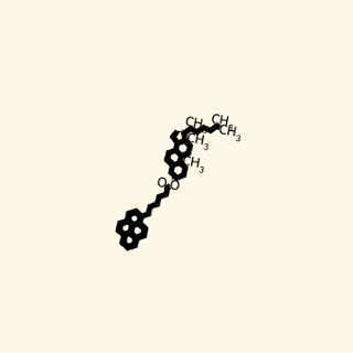 CC(C)CCC[C@@H](C)[C@H]1CCC2C3CC=C4C[C@H](OC(=O)CCCCCc5ccc6ccc7cccc8ccc5c6c78)CC[C@]4(C)C3CC[C@@]21C